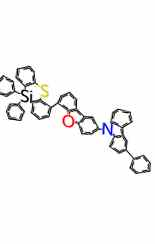 c1ccc(-c2ccc3c(c2)c2ccccc2n3-c2ccc3oc4c(-c5cccc6c5Sc5ccccc5[Si]6(c5ccccc5)c5ccccc5)cccc4c3c2)cc1